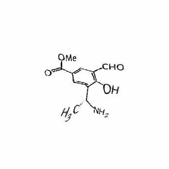 COC(=O)c1cc(C=O)c(O)c([C@@H](C)N)c1